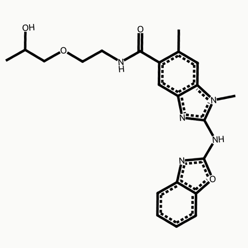 Cc1cc2c(cc1C(=O)NCCOCC(C)O)nc(Nc1nc3ccccc3o1)n2C